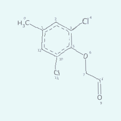 Cc1cc(Cl)c(OC[C]=O)c(Cl)c1